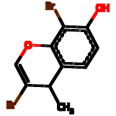 CC1C(Br)=COc2c1ccc(O)c2Br